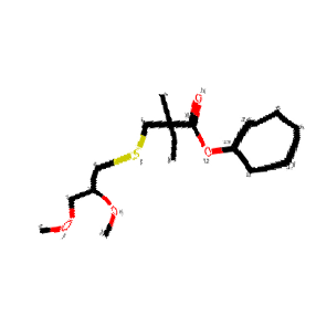 COCC(CSCC(C)(C)C(=O)OC1CCCCC1)OC